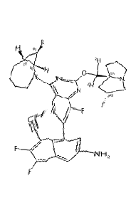 [2H]C([2H])(Oc1nc(N2CCCC[C@@H]3[C@@H](F)[C@@H]32)c2cnc(-c3cc(N)cc4cc(F)c(F)c(C#C)c34)c(F)c2n1)[C@@]12CCCN1C[C@H](F)C2